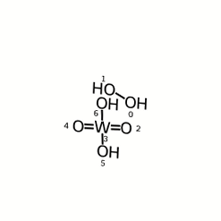 OO.[O]=[W](=[O])([OH])[OH]